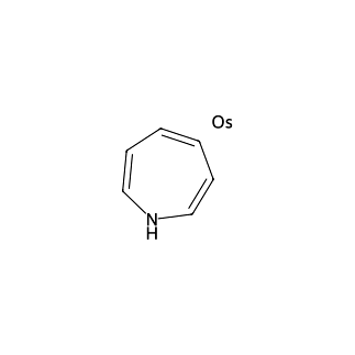 C1=CC=CNC=C1.[Os]